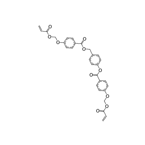 C=CC(=O)OCOc1ccc(C(=O)OCc2ccc(OC(=O)c3ccc(OCOC(=O)C=C)cc3)cc2)cc1